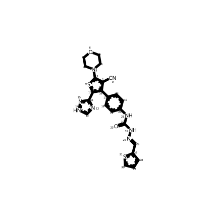 N#Cc1c(N2CCOCC2)sc(-c2nc[nH]n2)c1-c1ccc(NC(=O)N/N=C/c2cccs2)cc1